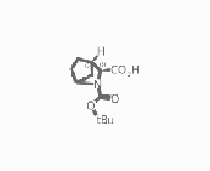 CC(C)(C)OC(=O)N1C2CC[C@@H](C2)[C@H]1C(=O)O